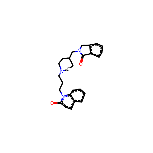 O=C1c2ccccc2CN1CC1CCN(CCCn2c(=O)ccc3ccccc32)CC1